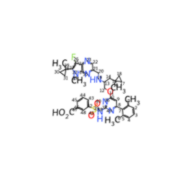 Cc1cccc(C)c1-c1cc(OCC(CC2(C)CC2)NCc2cnc3c(F)c(C4(C)CC4)n(C)c3n2)nc(NS(=O)(=O)c2cccc(C(=O)O)c2)n1